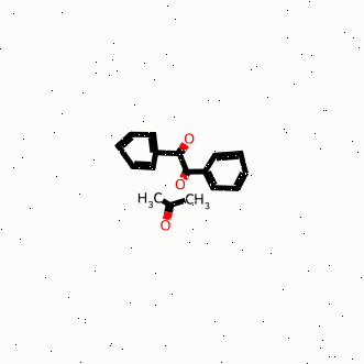 CC(C)=O.O=C(C(=O)c1ccccc1)c1ccccc1